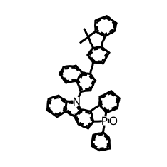 CC1(C)c2ccccc2-c2ccc(-c3ccc(-n4c5ccccc5c5ccc6c(c54)-c4ccccc4P6(=O)c4ccccc4)c4ccccc34)cc21